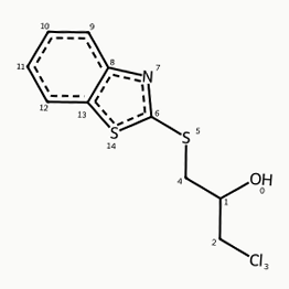 OC(CCl)CSc1nc2ccccc2s1